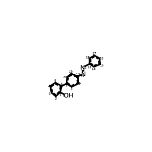 Oc1ccccc1-c1ccc(/N=N/c2ccccc2)cc1